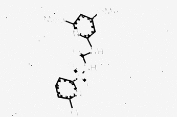 COc1cc(NC(=O)NS(=O)(=O)c2cccc(C(F)(F)F)n2)nc(OC)c1